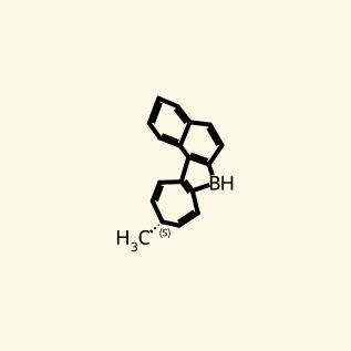 C[C@H]1C=CC2=C(C=C1)c1c(ccc3ccccc13)B2